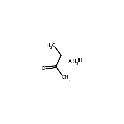 CCC(C)=O.I.[AlH3]